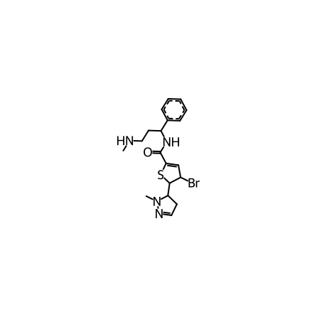 CNCCC(NC(=O)C1=CC(Br)C(C2CC=NN2C)S1)c1ccccc1